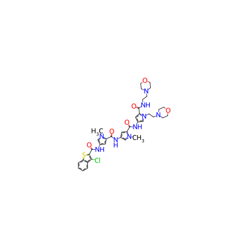 Cn1cc(NC(=O)c2sc3ccccc3c2Cl)cc1C(=O)Nc1cc(C(=O)Nc2cc(C(=O)NCCN3CCOCC3)n(CCN3CCOCC3)c2)n(C)c1